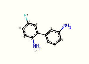 Nc1cccc(-c2cc(F)ccc2N)c1